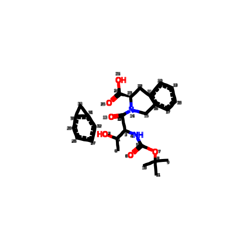 CC(O)C(NC(=O)OC(C)(C)C)C(=O)N1Cc2ccccc2C[C@@H]1C(=O)O.c1ccc2c(c1)C2